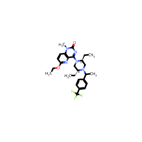 CCOc1ccc2c(n1)c(N1C[C@@H](CC)N(C(C)c3ccc(C(F)(F)F)cc3)C[C@@H]1CC)nc(=O)n2C